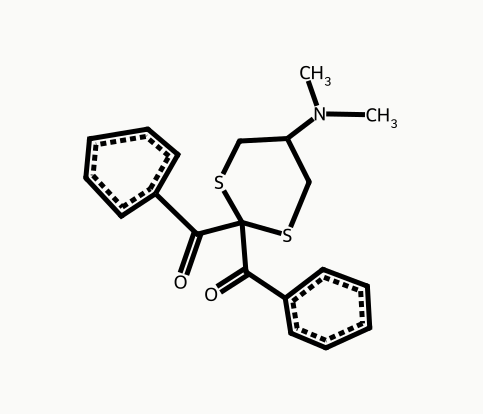 CN(C)C1CSC(C(=O)c2ccccc2)(C(=O)c2ccccc2)SC1